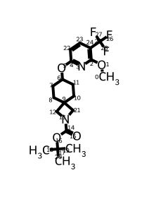 COc1nc(OC2CCC3(CC2)CN(C(=O)OC(C)(C)C)C3)ccc1C(F)(F)F